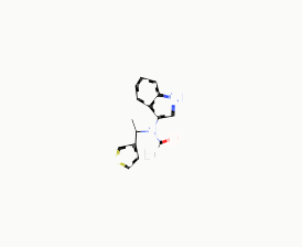 CCC(=O)N(c1c[nH]c2ccccc12)C(C)c1ccsc1